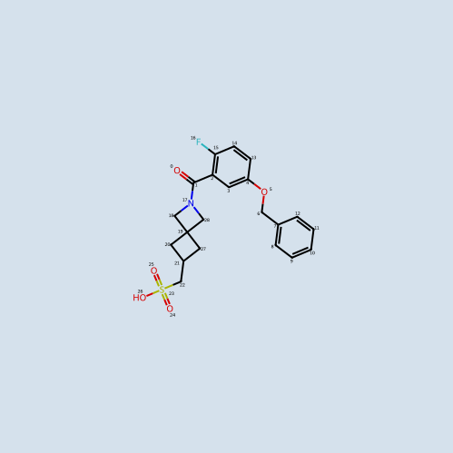 O=C(c1cc(OCc2ccccc2)ccc1F)N1CC2(CC(CS(=O)(=O)O)C2)C1